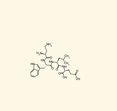 CC(C)C[C@H](NC(=O)[C@H](Cc1c[nH]c2ccccc12)NC(=O)[C@@H](N)CCN)C(=O)N[C@@H](CCC(=O)O)C(=O)O